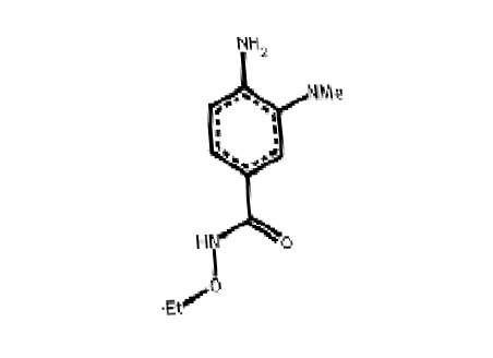 C[CH]ONC(=O)c1ccc(N)c(NC)c1